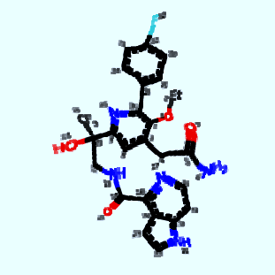 CCOc1c(CC(N)=O)cc([C@@](O)(CNC(=O)c2nccc3[nH]ccc23)C(F)(F)F)nc1-c1ccc(F)cc1